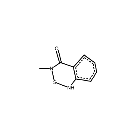 CN1SNc2ccccc2C1=O